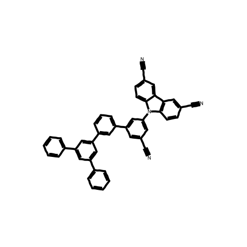 N#Cc1cc(-c2cccc(-c3cc(-c4ccccc4)cc(-c4ccccc4)c3)c2)cc(-n2c3ccc(C#N)cc3c3cc(C#N)ccc32)c1